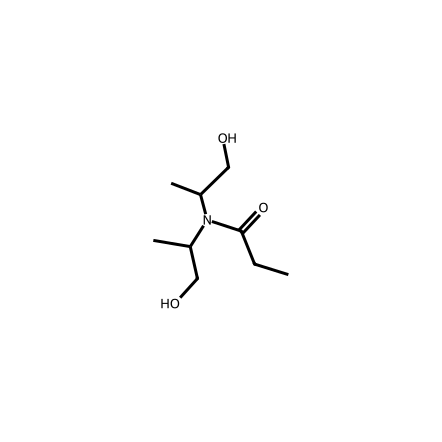 CCC(=O)N(C(C)CO)C(C)CO